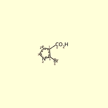 O=C(O)c1scnc1Br